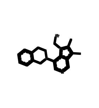 Cc1c(C)n(CC(C)C)c2c(N3CCc4ccccc4C3)cncc12